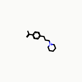 C=C(C)c1ccc(CCCN2CCCCC2)cc1